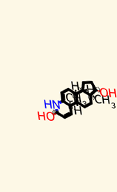 C[C@]12CC[C@H]3[C@@H](CC=C4N[C@H](O)C=C[C@@]43C)[C@@H]1CC[C@@H]2O